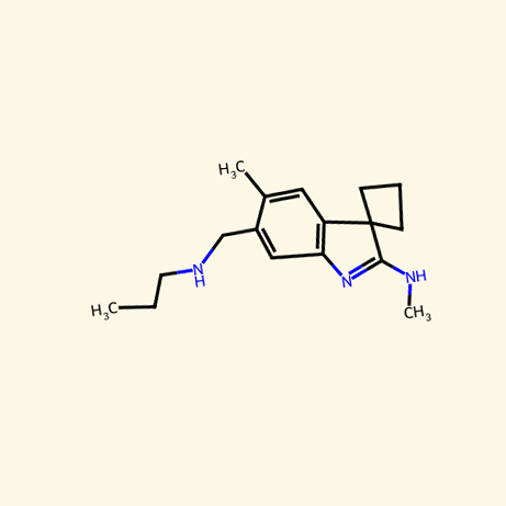 CCCNCc1cc2c(cc1C)C1(CCC1)C(NC)=N2